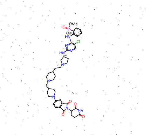 COP(=O)(OC)c1ccccc1Nc1nc(N[C@@H]2CCN(CCC3CCN(CC4CCN(c5ccc6c(c5)C(=O)N(C5CCC(=O)NC5=O)C6=O)CC4)CC3)C2)ncc1Cl